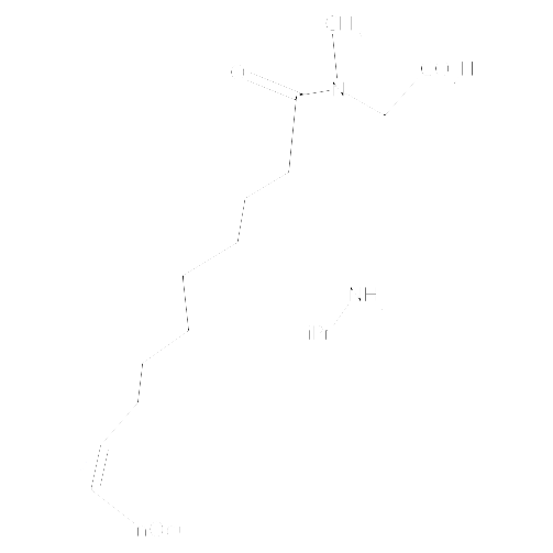 CC(C)N.CCCCCCCC/C=C\CCCCCCCC(=O)N(C)CC(=O)O